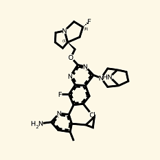 Cc1cc(N)nc(-c2c(Cl)cc3c(N4CC5CCC(C4)N5)nc(OC[C@@]45CCCN4C[C@H](F)C5)nc3c2F)c1C1CC1